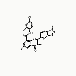 Cc1cc([C@@H](C)Nc2ccc(Cl)nc2C)c2oc(-c3ccc4c(cnn4C)n3)c(C)c(=O)c2c1